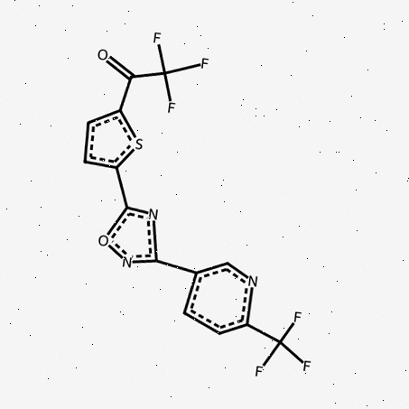 O=C(c1ccc(-c2nc(-c3ccc(C(F)(F)F)nc3)no2)s1)C(F)(F)F